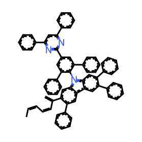 C=C(/C=C\C=C/C)c1cc2c(cc1-c1ccccc1)c1cc(-c3ccccc3)c(-c3ccccc3)cc1n2-c1c(-c2ccccc2)cc(-c2nc(-c3ccccc3)cc(-c3ccccc3)n2)cc1-c1ccccc1